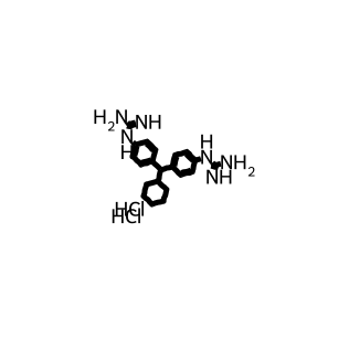 Cl.Cl.N=C(N)Nc1ccc(C(c2ccc(NC(=N)N)cc2)C2CCCCC2)cc1